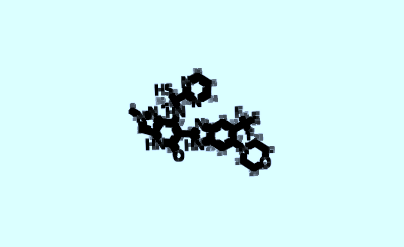 Cn1cc2[nH]c(=O)c(-c3nc4cc(C(F)(F)F)c(N5CCOCC5)cc4[nH]3)c(N[C@@](C)(S)c3ncccn3)c2n1